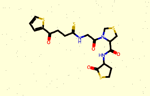 O=C(CCC(=S)NCC(=O)N1CSCC1C(=O)NC1CCSC1=O)c1cccs1